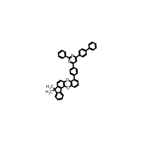 CC1(C)c2ccccc2-c2c1ccc1c2Oc2cccc(-c3ccc(-c4cc(-c5ccc(-c6ccccc6)cc5)nc(-c5ccccc5)n4)cc3)c2O1